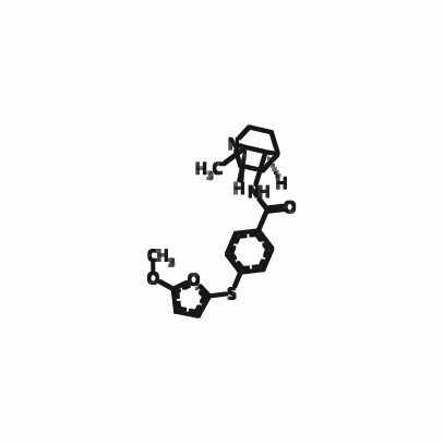 COc1ccc(Sc2ccc(C(=O)N[C@@H]3C4CCN(CC4)[C@H]3C)cc2)o1